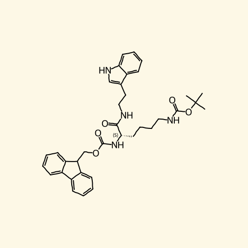 CC(C)(C)OC(=O)NCCCC[C@H](NC(=O)OCC1c2ccccc2-c2ccccc21)C(=O)NCCc1c[nH]c2ccccc12